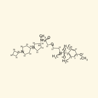 COc1cc(C)c(S(=O)(=O)N(C)CCOCC(=O)N(C)[C@@H]2CCN(C3CCN(C4CCC4)CC3)C2)c(C)c1